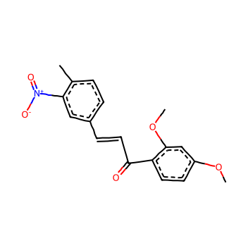 COc1ccc(C(=O)C=Cc2ccc(C)c([N+](=O)[O-])c2)c(OC)c1